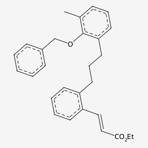 CCOC(=O)/C=C/c1ccccc1CCCc1cccc(C)c1OCc1ccccc1